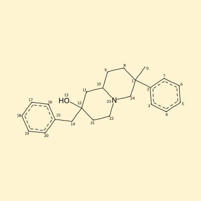 CC1(c2ccccc2)CCC2CC(O)(Cc3ccccc3)CCN2C1